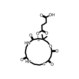 CC1(C)COC(=O)CC(=O)SCCNC(=O)CCNC(=O)[C@@H]1OC(=O)CCC(=O)O